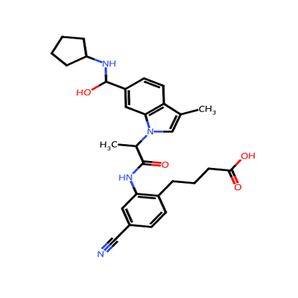 Cc1cn(C(C)C(=O)Nc2cc(C#N)ccc2CCCC(=O)O)c2cc(C(O)NC3CCCC3)ccc12